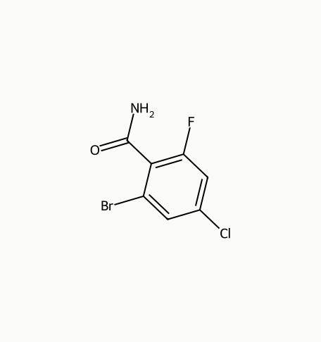 NC(=O)c1c(F)cc(Cl)cc1Br